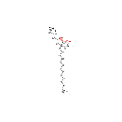 CCCCCCCCCCCCCCC(CC)(CCCCCC)C(=O)O